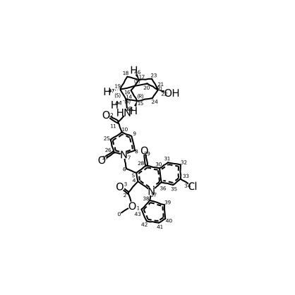 COC(=O)c1c(Cn2ccc(C(=O)N[C@@H]3[C@@H]4C[C@@H]5C[C@H]3C[C@](O)(C5)C4)cc2=O)c(=O)c2ccc(Cl)cc2n1-c1ccccc1